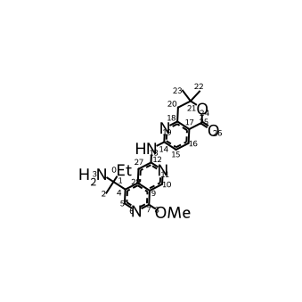 CCC(C)(N)c1cnc(OC)c2cnc(Nc3ccc4c(n3)CC(C)(C)OC4=O)cc12